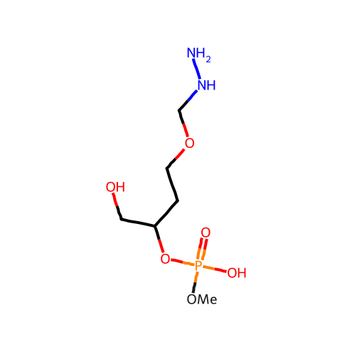 COP(=O)(O)OC(CO)CCOCNN